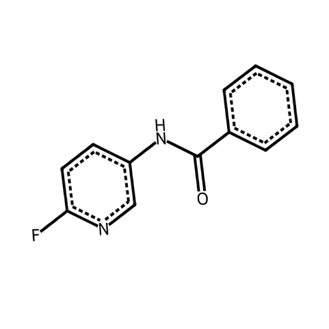 O=C(Nc1ccc(F)nc1)c1ccccc1